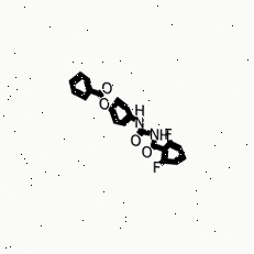 O=C(NC(=O)c1c(F)cccc1F)Nc1ccc(OC(=O)c2ccccc2)cc1